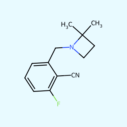 CC1(C)CCN1Cc1cccc(F)c1C#N